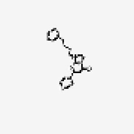 O=c1cc(-c2ccncc2)nc2n(CCCCc3ccccc3)ccn12